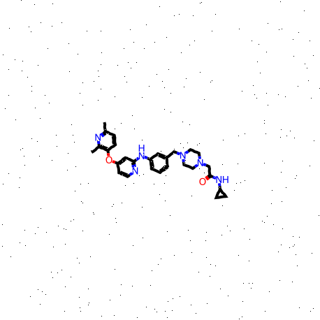 Cc1ccc(Oc2ccnc(Nc3cccc(CN4CCN(CC(=O)NC5CC5)CC4)c3)c2)c(C)n1